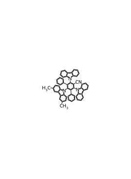 Cc1ccc2c(c1)c1cc(C)ccc1n2-c1c(-c2ccccc2)c(-n2c3ccccc3c3ccccc32)c(C#N)c(-n2c3ccccc3c3ccccc32)c1-c1ccccc1